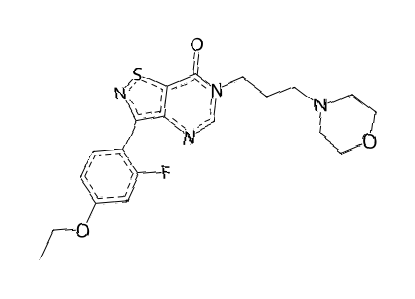 CCOc1ccc(-c2nsc3c(=O)n(CCCN4CCOCC4)cnc23)c(F)c1